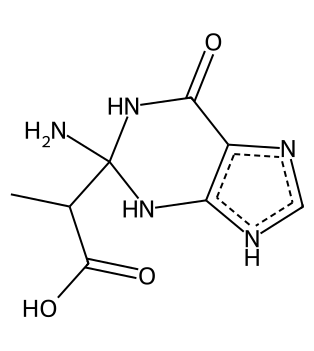 CC(C(=O)O)C1(N)NC(=O)c2nc[nH]c2N1